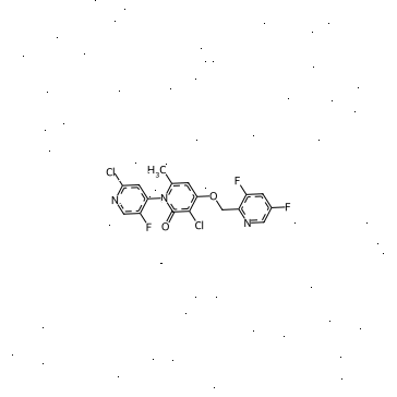 Cc1cc(OCc2ncc(F)cc2F)c(Cl)c(=O)n1-c1cc(Cl)ncc1F